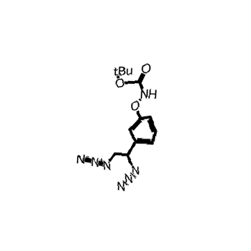 CC(C)(C)OC(=O)NOc1cccc(C(CN=[N+]=[N-])N=[N+]=[N-])c1